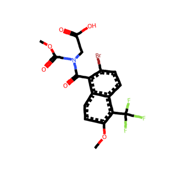 COC(=O)N(CC(=O)O)C(=O)c1c(Br)ccc2c(C(F)(F)F)c(OC)ccc12